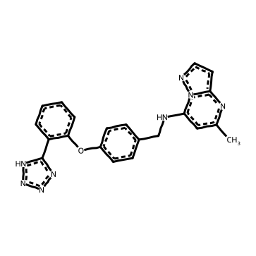 Cc1cc(NCc2ccc(Oc3ccccc3-c3nnn[nH]3)cc2)n2nccc2n1